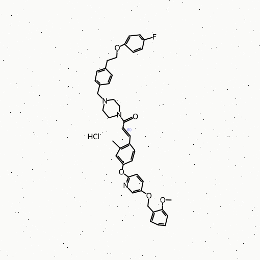 COc1ccccc1COc1ccc(Oc2ccc(/C=C/C(=O)N3CCN(Cc4ccc(CCOc5ccc(F)cc5)cc4)CC3)c(C)c2)nc1.Cl